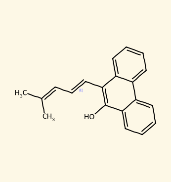 CC(C)=C/C=C/c1c(O)c2ccccc2c2ccccc12